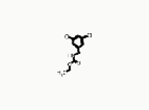 CCOC(=O)NCc1cc(Cl)cc(Cl)c1